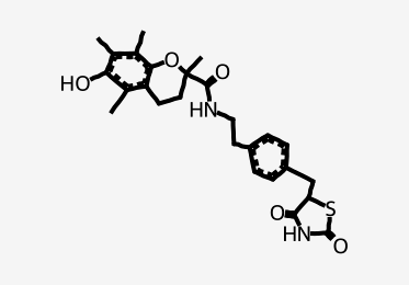 Cc1c(C)c2c(c(C)c1O)CCC(C)(C(=O)NCCc1ccc(CC3SC(=O)NC3=O)cc1)O2